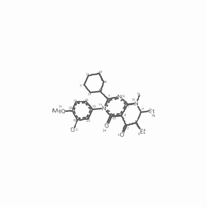 CCC1C(=O)c2c(nc(C3CCCCC3)n(-c3ccc(OC)c(Cl)c3)c2=O)N(C)C1CC